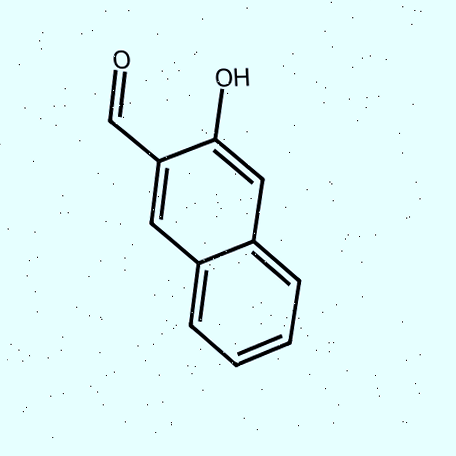 O=Cc1cc2ccccc2cc1O